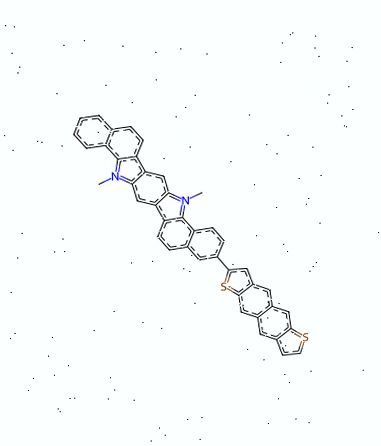 Cn1c2cc3c4ccc5cc(-c6cc7cc8cc9sccc9cc8cc7s6)ccc5c4n(C)c3cc2c2ccc3ccccc3c21